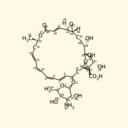 CC1O[C@@H](O[C@H]2/C=C/C=C/C=C/C=C/C[C@@H](C)OC(=O)/C=C/[C@H]3O[C@@H]3C[C@H](O)C[C@]3(O)C[C@H](O)[C@@H](C(=O)O)[C@H](C2)O3)[C@H](O)C(N)[C@@H]1O